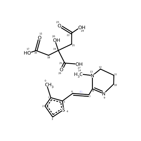 Cc1ccsc1/C=C/C1=NCCCN1C.O=C(O)CC(O)(CC(=O)O)C(=O)O